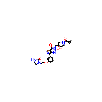 O=C1NCCN1CCOc1cccc(-c2nsc3c(=O)n(CC4(O)CCN(C(=O)C5CC5)CC4)cnc23)c1